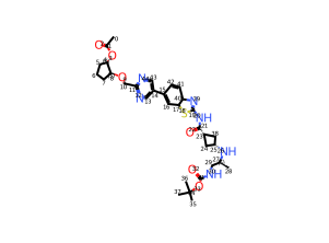 CC(=O)O[C@H]1CCC[C@@H]1OCc1ncc(C2=CC3SC(NC(=O)[C@H]4C[C@@H](N[C@@H](C)CNC(=O)OC(C)(C)C)C4)=NC3C=C2)cn1